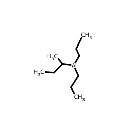 CC[CH2][Al]([CH2]CC)[CH](C)CC